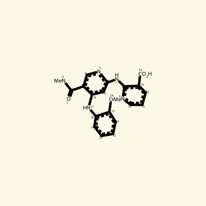 CNC(=O)c1cnc(Nc2ncccc2C(=O)O)cc1Nc1ccccc1OC